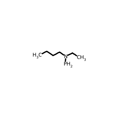 CCCCN(P)CC